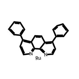 [Ru].c1ccc(-c2ccnc3c2ccc2c(-c4ccccc4)ccnc23)cc1